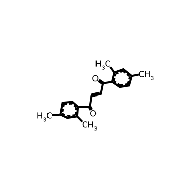 Cc1ccc(C(=O)C=CC(=O)c2ccc(C)cc2C)c(C)c1